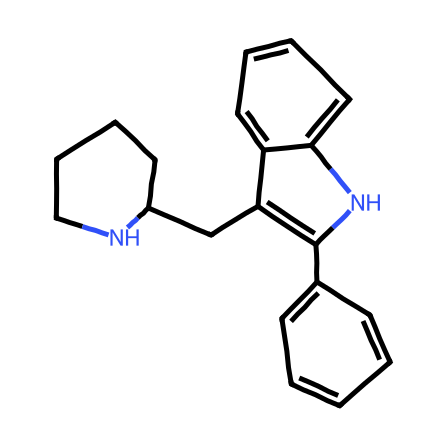 c1ccc(-c2[nH]c3ccccc3c2CC2CCCCN2)cc1